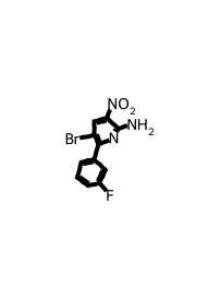 Nc1nc(-c2cccc(F)c2)c(Br)cc1[N+](=O)[O-]